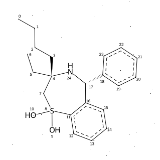 CCCC[C@]1(CC)CS(O)(O)c2c[c]ccc2[C@@H](c2ccccc2)N1